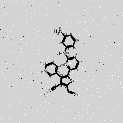 N#Cc1c(C=S)sc(-c2ccnc(Nc3cccc(N)c3)n2)c1-c1cccnc1